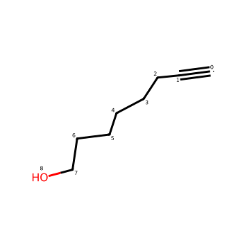 [C]#CCCCCCCO